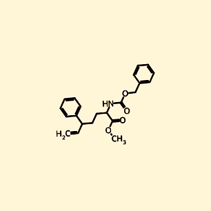 C=CC(CCC(NC(=O)OCc1ccccc1)C(=O)OC)c1ccccc1